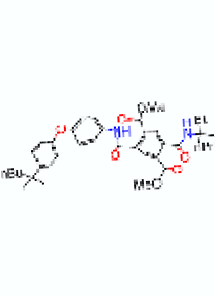 CCCCC(C)(C)c1ccc(Oc2ccc(NC(=O)c3cc(C(=O)OC)c(C(=O)NC(C)(CC)CCC)cc3C(=O)OC)cc2)cc1